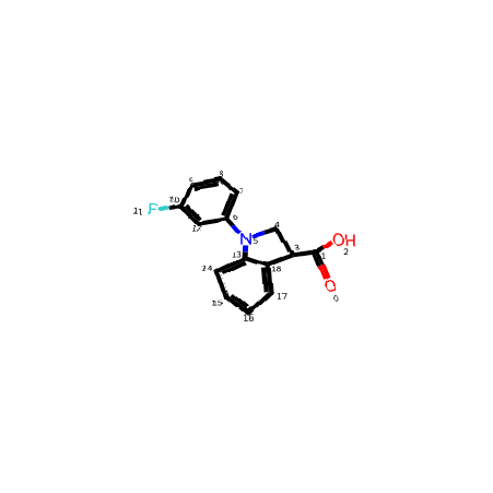 O=C(O)C1CN(c2cccc(F)c2)c2ccccc21